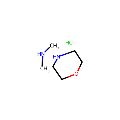 C1COCCN1.CNC.Cl